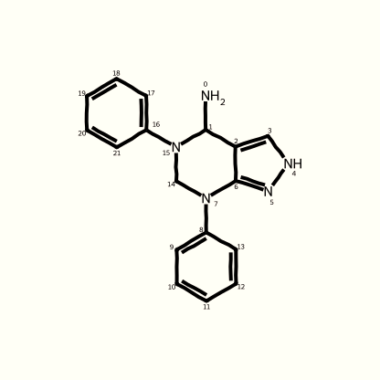 NC1c2c[nH]nc2N(c2ccccc2)CN1c1ccccc1